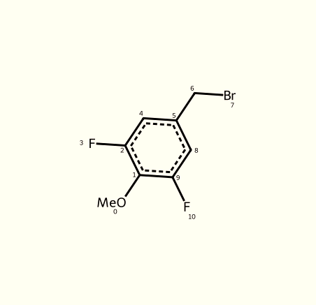 COc1c(F)cc(CBr)cc1F